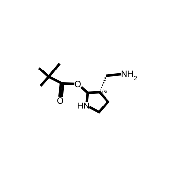 CC(C)(C)C(=O)OC1NCC[C@H]1CN